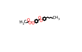 C=CC(=O)OCOc1ccc(C(=O)Oc2ccc(CCCCC)cc2)cc1